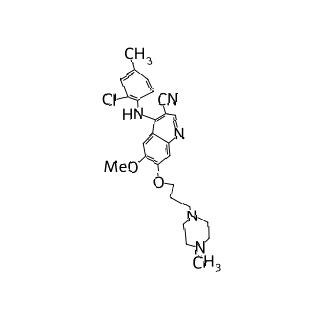 COc1cc2c(Nc3ccc(C)cc3Cl)c(C#N)cnc2cc1OCCCN1CCN(C)CC1